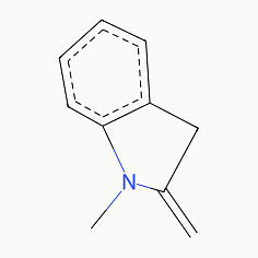 C=C1Cc2ccccc2N1C